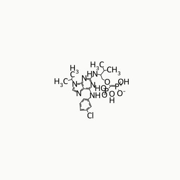 CC(C)C(CO/C(=[P+](/[O-])O)P(=O)(O)O)Nc1nc(Nc2cccc(Cl)c2)c2ncn(C(C)C)c2n1